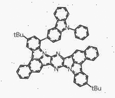 CC(C)(C)c1ccc2c(c1)c1c3ccccc3cc3c4nc5c(nc4n2c31)c1cc2ccccc2c2c3cc(C(C)(C)C)cc(-c4ccc6c(c4)c4ccccc4n6-c4ccccc4)c3n5c12